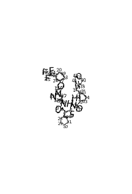 O=C(Nc1sc2c(c1C(=O)Nc1cnn(COc3cccc(C(F)(F)F)c3)c1)CCCC2)c1cccc(CN2CCOCC2)c1